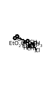 CCOC(=O)c1[nH]c2c(-c3c(C(C)N(C)S(=O)(=O)CCCCl)nn(C)c3CC)cccc2c1CCCOc1cccc2ccccc12